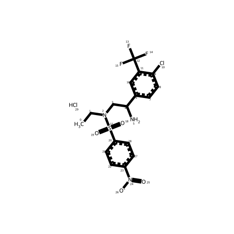 CCN(CC(N)c1ccc(Cl)c(C(F)(F)F)c1)S(=O)(=O)c1ccc([N+](=O)[O-])cc1.Cl